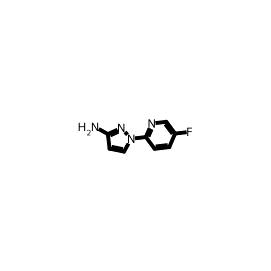 Nc1ccn(-c2ccc(F)cn2)n1